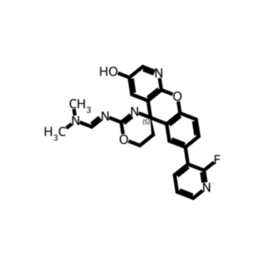 CN(C)C=NC1=N[C@@]2(CCO1)c1cc(-c3cccnc3F)ccc1Oc1ncc(O)cc12